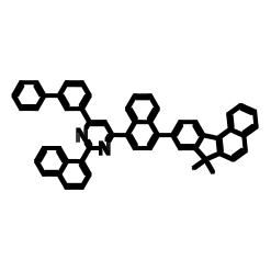 CC1(C)c2cc(-c3ccc(-c4cc(-c5cccc(-c6ccccc6)c5)nc(-c5cccc6ccccc56)n4)c4ccccc34)ccc2-c2c1ccc1ccccc21